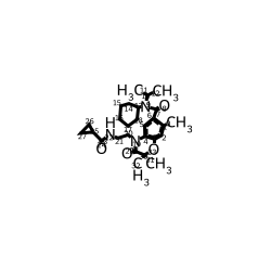 Cc1cc2c(cc1C(=O)N(C(C)C)C1CCCCC1)N(CCNC(=O)C1CC1)C(=O)C(C)(C)O2